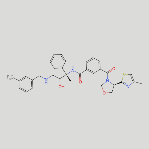 Cc1csc([C@H]2COCN2C(=O)c2cccc(C(=O)N[C@@](C)(c3ccccc3)[C@H](O)CNCc3cccc(C(F)(F)F)c3)c2)n1